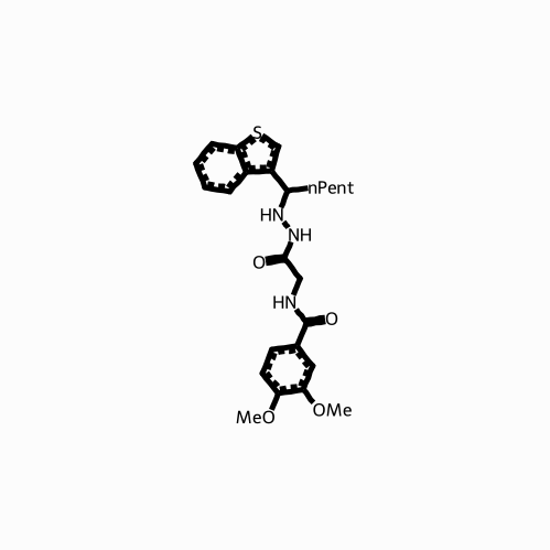 CCCCCC(NNC(=O)CNC(=O)c1ccc(OC)c(OC)c1)c1csc2ccccc12